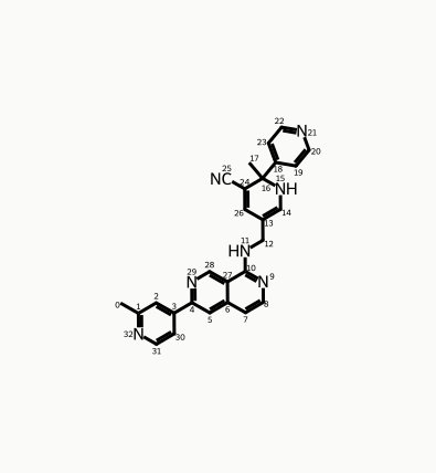 Cc1cc(-c2cc3ccnc(NCC4=CNC(C)(c5ccncc5)C(C#N)=C4)c3cn2)ccn1